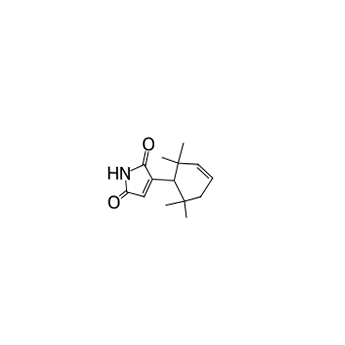 CC1(C)C=CCC(C)(C)C1C1=CC(=O)NC1=O